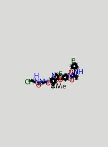 COc1cc2c(Oc3ccc(NC(=O)C4(C(=O)Nc5ccc(F)cc5)CC4)cc3F)ccnc2cc1OCCNC(=O)NCCCl